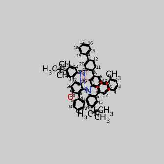 Cc1ccccc1-c1cc(-c2ccc(-c3ccccc3)cc2Nc2ccc(C(C)(C)C)cc2)c2c(c1)N(c1ccc(C(C)(C)C)cc1-c1ccccc1)c1c(ccc3oc4ccccc4c13)B2